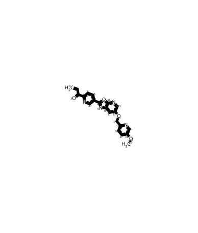 C=CC(=O)c1ccc(-c2nc3cc(OCc4ccc(OC)cn4)cnc3o2)cn1